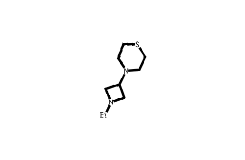 CCN1CC(N2CCSCC2)C1